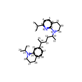 CC(C)c1ccc2c(n1)N(C(C)CCC(C)c1ccc3c(c1)N(C(C)C)CCC3)CCC2